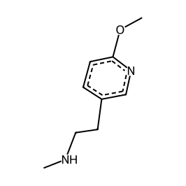 CNCCc1ccc(OC)nc1